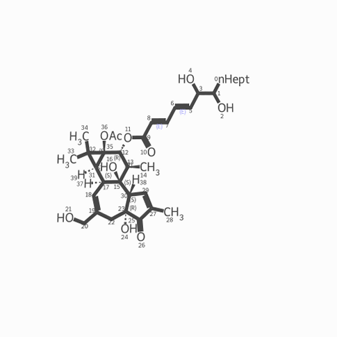 CCCCCCCC(O)C(O)/C=C/C=C/C(=O)O[C@@H]1[C@@H](C)[C@@]2(O)[C@@H](C=C(CO)C[C@]3(O)C(=O)C(C)=C[C@@H]23)[C@H]2C(C)(C)[C@]12OC(C)=O